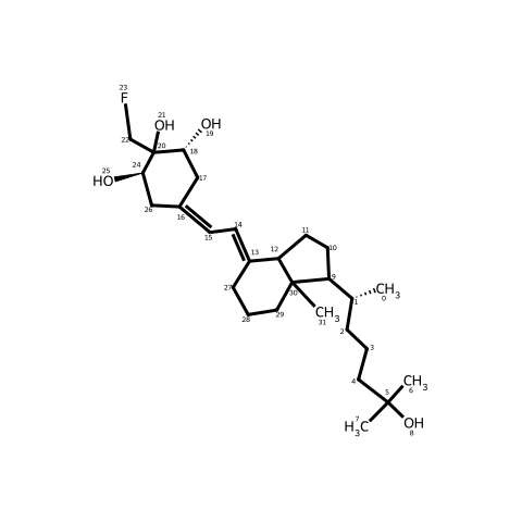 C[C@H](CCCC(C)(C)O)C1CCC2/C(=C/C=C3C[C@@H](O)C(O)(CF)[C@H](O)C3)CCCC21C